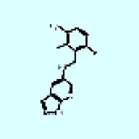 Nc1ccc(F)c(CNc2cnc3[nH]ncc3c2)c1F